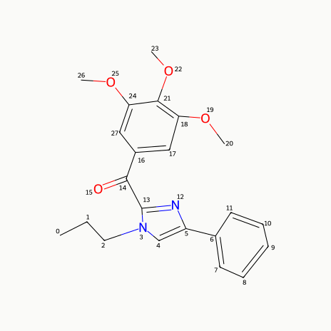 CCCn1cc(-c2ccccc2)nc1C(=O)c1cc(OC)c(OC)c(OC)c1